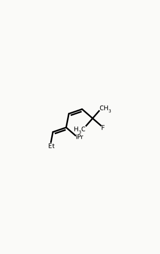 CC/C=C(/C=C\C(C)(C)F)C(C)C